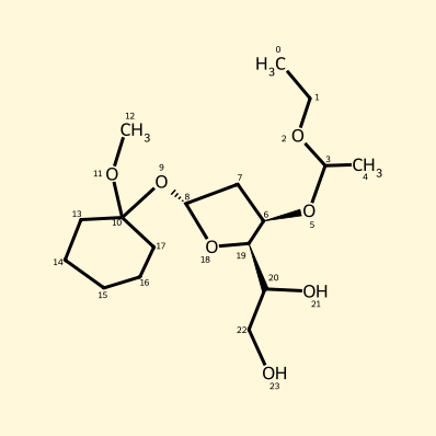 CCOC(C)O[C@@H]1C[C@@H](OC2(OC)CCCCC2)O[C@@H]1C(O)CO